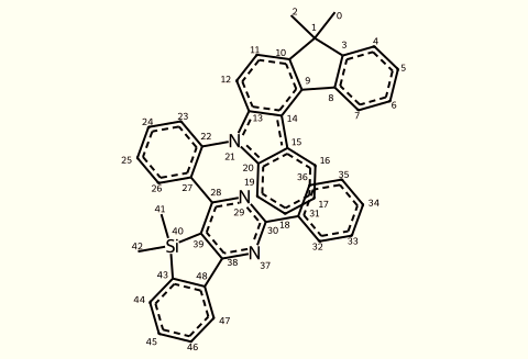 CC1(C)c2ccccc2-c2c1ccc1c2c2ccccc2n1-c1ccccc1-c1nc(-c2ccccc2)nc2c1[Si](C)(C)c1ccccc1-2